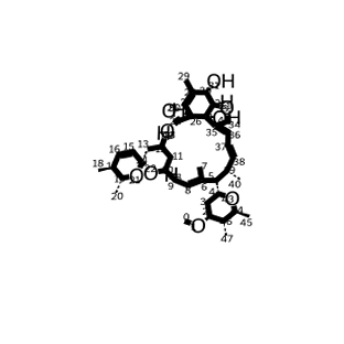 CO[C@H]1C[C@H](C2/C(C)=C/C[C@@H]3C[C@@H](C[C@]4(C=C[C@H](C)[C@@H](C)O4)O3)OC(=O)[C@@H]3C=C(C)[C@@H](O)[C@H]4OC/C(=C\C=C\[C@@H]2C)[C@]43O)O[C@@H](C)[C@@H]1C